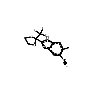 [C-]#[N+]c1cc2nc(C3(C(F)(F)F)OCCO3)[nH]c2cc1C